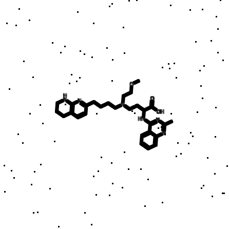 COCCN(CCCCc1ccc2c(n1)NCCC2)CCC(Nc1nc(C)nc2ccccc12)C(=O)O